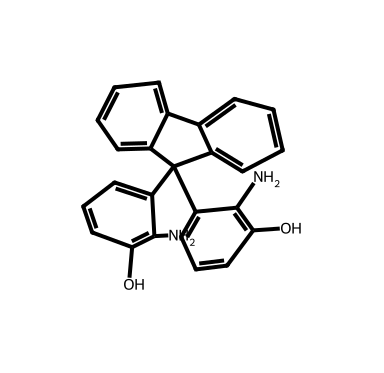 Nc1c(O)cccc1C1(c2cccc(O)c2N)c2ccccc2-c2ccccc21